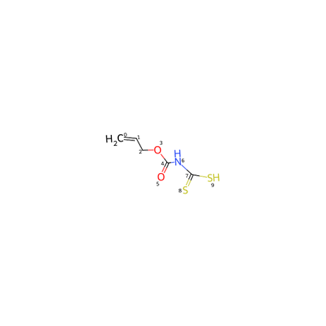 C=CCOC(=O)NC(=S)S